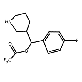 O=C(OC(c1ccc(F)cc1)C1CCCNC1)C(F)(F)F